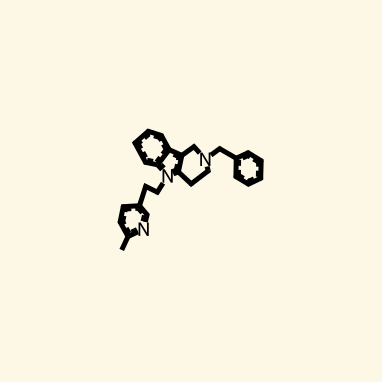 Cc1ccc(CCn2c3c(c4ccccc42)CN(Cc2ccccc2)CC3)cn1